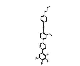 CCCCc1ccc(C#Cc2ccc(-c3ccc(-c4cc(F)c(F)c(F)c4F)cc3)cc2CC)cc1